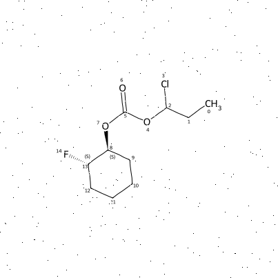 CCC(Cl)OC(=O)O[C@H]1CCCC[C@@H]1F